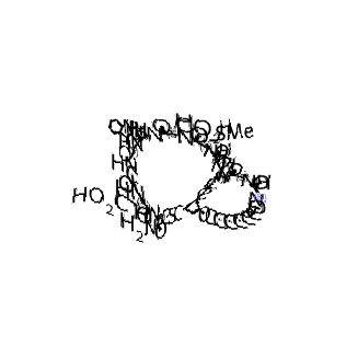 CSCC[C@@H]1NC(=O)[C@@H]2CCCN2C(=O)[C@@H]2CSCc3cc(cc(c3)OCCCCCCO/N=C/C(=O)N[C@@H](C)C(=O)N2)CSC[C@@H](C(N)=O)NC(=O)[C@H](CCC(=O)O)NC(=O)CNC(=O)[C@H](Cc2c[nH]c3ccccc23)NC(=O)[C@H](C(C)C)NC(=O)[C@H](CC(=O)O)NC1=O